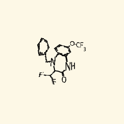 O=C1Nc2cc(OC(F)(F)F)ccc2N(Cc2ccccc2)C1C(F)F